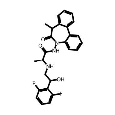 CC1C(=O)N(NC(=O)[C@H](C)NCC(O)c2c(F)cccc2F)c2ccccc2-c2ccccc21